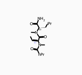 C/C=C(\C(=O)N(C)[C@@H](CC(C)C)C(N)=O)N(C)C(=O)CCC